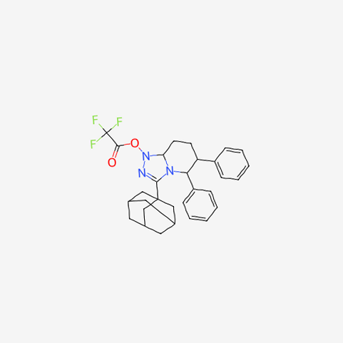 O=C(ON1N=C(C23CC4CC(CC(C4)C2)C3)N2C(c3ccccc3)C(c3ccccc3)CCC12)C(F)(F)F